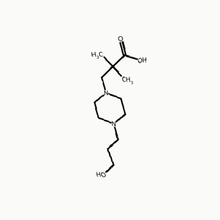 CC(C)(CN1CCN(CCCO)CC1)C(=O)O